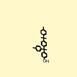 CC1=CC=C(C(C)(C)c2ccc(C(C)(c3ccc(C)cc3)c3ccc(O)cc3)cc2)CC1